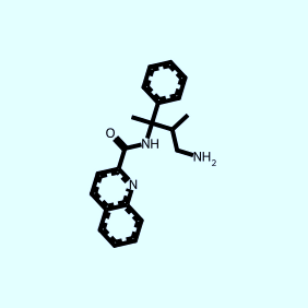 CC(CN)C(C)(NC(=O)c1ccc2ccccc2n1)c1ccccc1